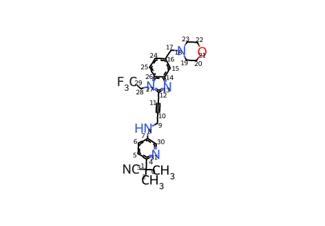 CC(C)(C#N)c1ccc(NCC#Cc2nc3cc(CN4CCOCC4)ccc3n2CC(F)(F)F)cn1